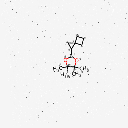 CC1(C)OB(C2CC23CCC3)OC1(C)C